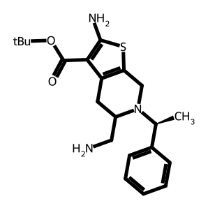 C[C@@H](c1ccccc1)N1Cc2sc(N)c(C(=O)OC(C)(C)C)c2CC1CN